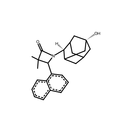 CC1(C)C(=O)N([C@H]2C3CC4CC2C[C@](O)(C4)C3)C1c1cccc2ccccc12